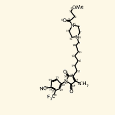 COCCC(=O)N1CCN(CCCCCCCC2=C(C)C(=O)N(c3ccc(C#N)c(C(F)(F)F)c3)C2=O)CC1